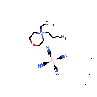 CCC[N+]1(CC)CCOCC1.N#C[B-](C#N)(C#N)C#N